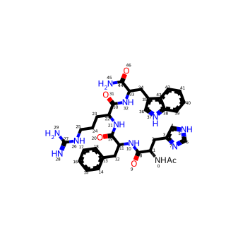 CC(=O)NC(Cc1c[nH]cn1)C(=O)NC(Cc1ccccc1)C(=O)NC(CCCNC(=N)N)C(=O)NC(Cc1c[nH]c2ccccc12)C(N)=O